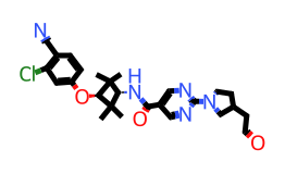 CC1(C)[C@H](NC(=O)c2cnc(N3CCC(CC=O)C3)nc2)C(C)(C)[C@H]1Oc1ccc(C#N)c(Cl)c1